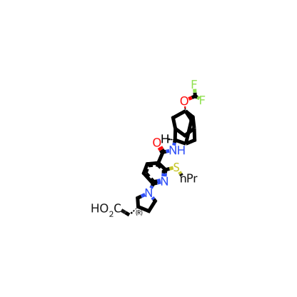 CCCSc1nc(N2CC[C@H](CC(=O)O)C2)ccc1C(=O)N[C@H]1C2CC3CC1C[C@](OC(F)F)(C3)C2